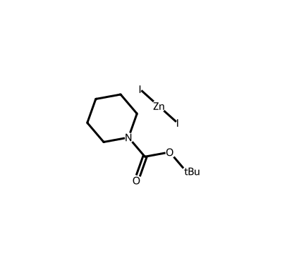 CC(C)(C)OC(=O)N1CCCCC1.[I][Zn][I]